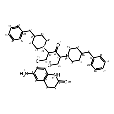 Nc1ccc2c(c1)CCC(=O)N2.O=C(C(CCl)N1CCC(Cc2ccccc2)CC1)C(CCl)N1CCC(Cc2ccccc2)CC1